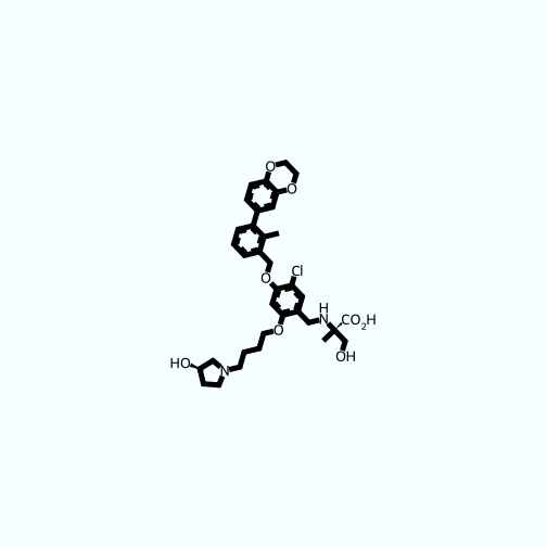 Cc1c(COc2cc(OCCCCN3CC[C@@H](O)C3)c(CN[C@](C)(CO)C(=O)O)cc2Cl)cccc1-c1ccc2c(c1)OCCO2